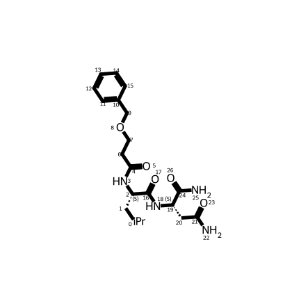 CC(C)C[C@H](NC(=O)CCOCc1ccccc1)C(=O)N[C@@H](CC(N)=O)C(N)=O